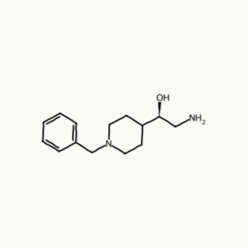 NC[C@H](O)C1CCN(Cc2ccccc2)CC1